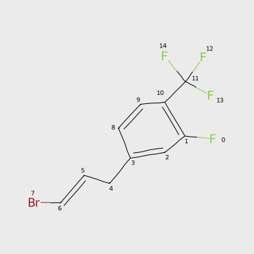 Fc1cc(CC=CBr)ccc1C(F)(F)F